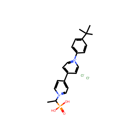 CC([n+]1ccc(-c2cc[n+](-c3ccc(C(C)(C)C)cc3)cc2)cc1)P(=O)(O)O.[Cl-].[Cl-]